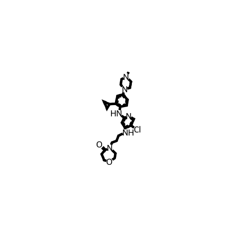 CN1CCN(c2ccc(Nc3cc(NCCCN4CCOCCC4=O)c(Cl)cn3)c(C3CC3)c2)CC1